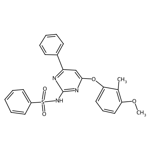 COc1cccc(Oc2cc(-c3ccccc3)nc(NS(=O)(=O)c3ccccc3)n2)c1C